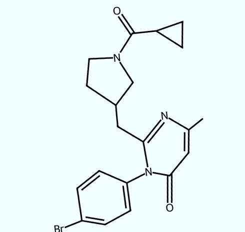 Cc1cc(=O)n(-c2ccc(Br)cc2)c(CC2CCN(C(=O)C3CC3)C2)n1